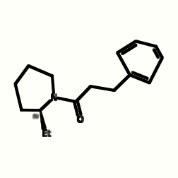 CC[C@H]1CCCCN1C(=O)CCc1ccccc1